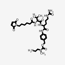 CC(C)[C@H](NC(=O)CCCCCN1C(=O)C=CC1=O)C(=O)NC(CCCNC(N)=O)C(=O)Nc1ccc(COC(=O)N(C)CCN)cc1